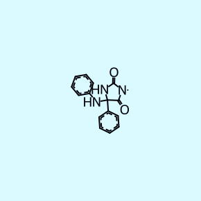 O=C1[N]C(=O)C(Nc2ccccc2)(c2ccccc2)N1